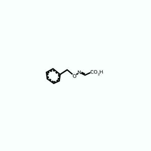 O=C(O)C=NOCc1ccccc1